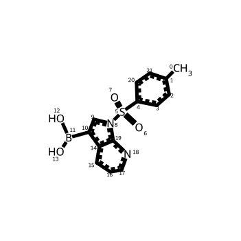 Cc1ccc(S(=O)(=O)n2cc(B(O)O)c3cccnc32)cc1